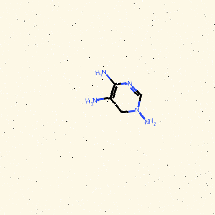 NC1=C(N)N=CN(N)C1